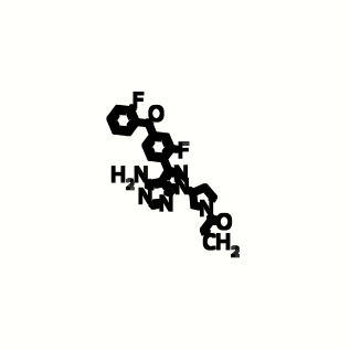 C=CC(=O)N1CCC(n2nc(-c3ccc(C(=O)c4ccccc4F)cc3F)c3c(N)ncnc32)C1